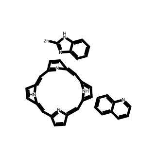 C1=Cc2cc3ccc(cc4nc(cc5ccc(cc1n2)[nH]5)C=C4)[nH]3.[Zn][c]1nc2ccccc2[nH]1.c1ccc2ncccc2c1